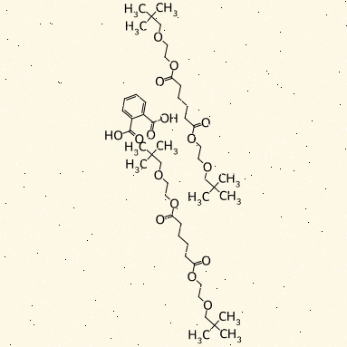 CC(C)(C)COCCOC(=O)CCCCC(=O)OCCOCC(C)(C)C.CC(C)(C)COCCOC(=O)CCCCC(=O)OCCOCC(C)(C)C.O=C(O)c1ccccc1C(=O)O